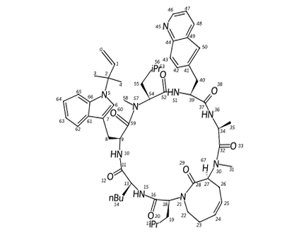 C=CC(C)(C)n1cc(C[C@@H]2NC(=O)[C@H](CCCC)NC(=O)[C@H](CC(C)C)N3CC/C=C\C[C@@H](C3=O)N(C)C(=O)[C@H](C)NC(=O)[C@H](Cc3ccc4ncccc4c3)NC(=O)[C@H](CC(C)C)N(C)C2=O)c2ccccc21